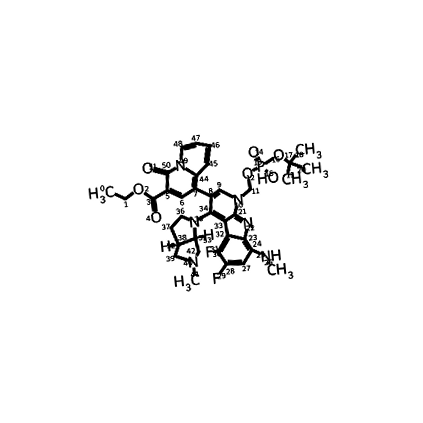 CCOC(=O)c1cc(-c2cn(COP(=O)(O)OC(C)(C)C)c3nc4c(NC)cc(F)c(F)c4c-3c2N2CC[C@H]3CN(C)C[C@H]32)c2ccccn2c1=O